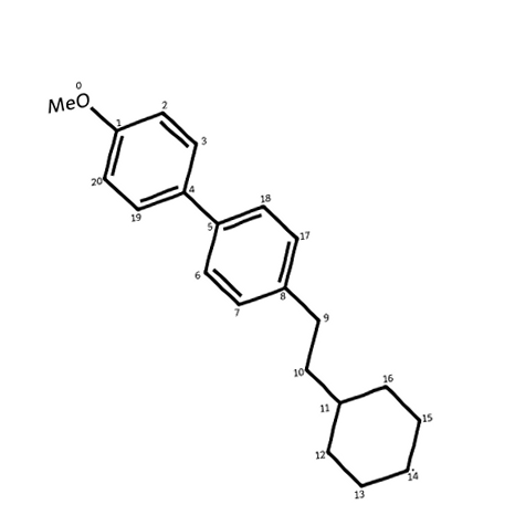 COc1ccc(-c2ccc(CCC3CC[CH]CC3)cc2)cc1